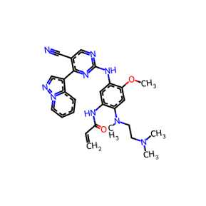 C=CC(=O)Nc1cc(Nc2ncc(C#N)c(-c3cnn4ccccc34)n2)c(OC)cc1N(C)CCN(C)C